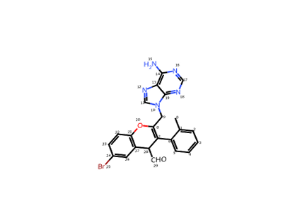 Cc1ccccc1C1=C(Cn2cnc3c(N)ncnc32)Oc2ccc(Br)cc2C1C=O